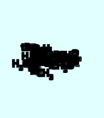 C/C(=C\CN(C)C(=O)C(NC(=O)[C@@H](N(C)C(=O)OC(C)(C)C)C(C)(C)c1cn(C)c2ccc(C)cc12)C(C)(C)C)C(=O)ON1C(=O)CCC1=O